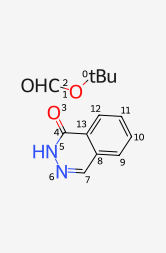 CC(C)(C)OC=O.O=c1[nH]ncc2ccccc12